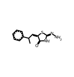 CC(C=C1SC(=NN)NC1=O)c1ccccc1